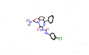 CCN(CC)C(=O)CN1C(=O)C(NC(=O)Nc2ccc(Cl)cc2)N=C(c2ccccc2)c2ccccc21